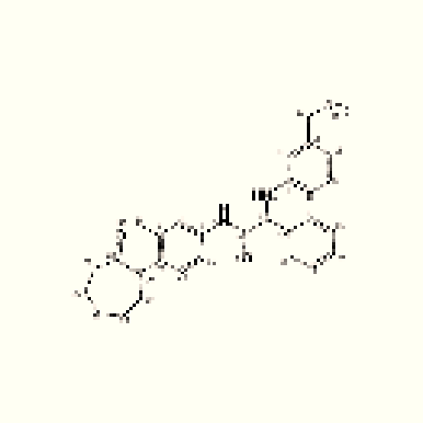 Cc1cc(NC(=O)[C@@H](Nc2cccc(CN)c2)c2ccccc2)ccc1N1CCCCCC1=O